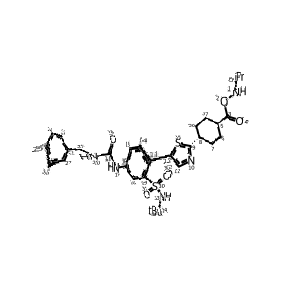 CC(C)NOC(=O)[C@H]1CC[C@H](c2ncc(-c3ccc(NC(=O)NCc4ccccc4)cc3S(=O)(=O)NC(C)(C)C)s2)CC1